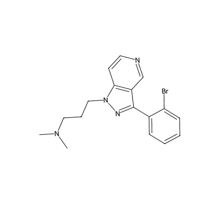 CN(C)CCCn1nc(-c2ccccc2Br)c2cnccc21